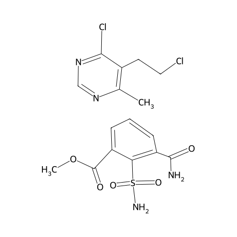 COC(=O)c1cccc(C(N)=O)c1S(N)(=O)=O.Cc1ncnc(Cl)c1CCCl